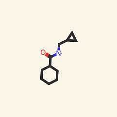 O=C([N]CC1CC1)C1CCCCC1